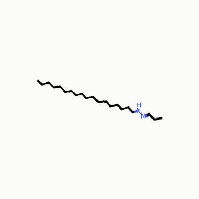 CCC=NNCCCCCCCCCCCCCCCCCC